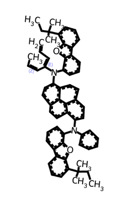 C=C/C=C(\C=C/C)N(c1ccc2ccc3c(N(c4ccccc4)c4cccc5c4oc4c(C(C)(C)CC)cccc45)ccc4ccc1c2c43)c1cccc2c1oc1c(C(C)(C)CC)cccc12